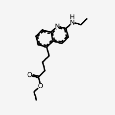 CCNc1ccc2c(CCCC(=O)OCC)cccc2n1